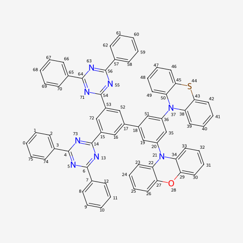 c1ccc(-c2nc(-c3ccccc3)nc(-c3cc(-c4cc(N5c6ccccc6Oc6ccccc65)cc(N5c6ccccc6Sc6ccccc65)c4)cc(-c4nc(-c5ccccc5)nc(-c5ccccc5)n4)c3)n2)cc1